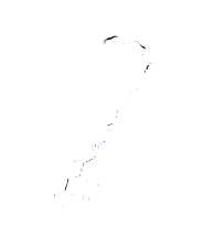 CC/C=C\C/C=C\C/C=C\CCCCCCCCNC[C@H](O)[C@@H](O)[C@H](O)[C@H](O)CO